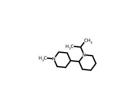 CC(C)N1CCCCC1C1CCN(C)CC1